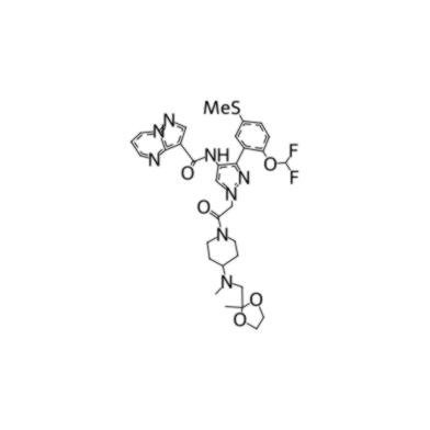 CSc1ccc(OC(F)F)c(-c2nn(CC(=O)N3CCC(N(C)CC4(C)OCCO4)CC3)cc2NC(=O)c2cnn3cccnc23)c1